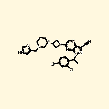 CC(c1ccc(Cl)cc1Cl)n1nc(C#N)c2ncc(N3CC([C@H]4CCCN(Cc5c[nH]cn5)C4)C3)nc21